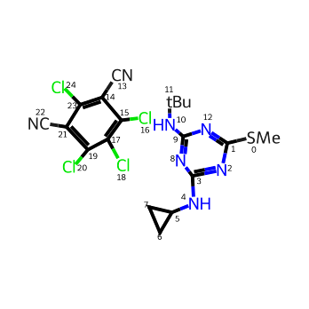 CSc1nc(NC2CC2)nc(NC(C)(C)C)n1.N#Cc1c(Cl)c(Cl)c(Cl)c(C#N)c1Cl